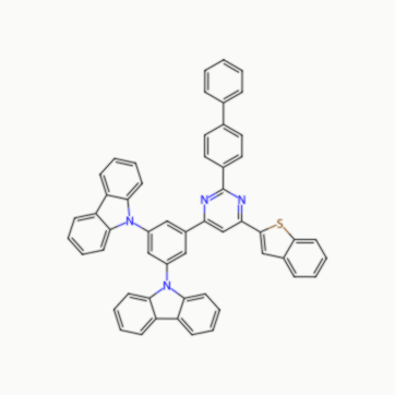 c1ccc(-c2ccc(-c3nc(-c4cc(-n5c6ccccc6c6ccccc65)cc(-n5c6ccccc6c6ccccc65)c4)cc(-c4cc5ccccc5s4)n3)cc2)cc1